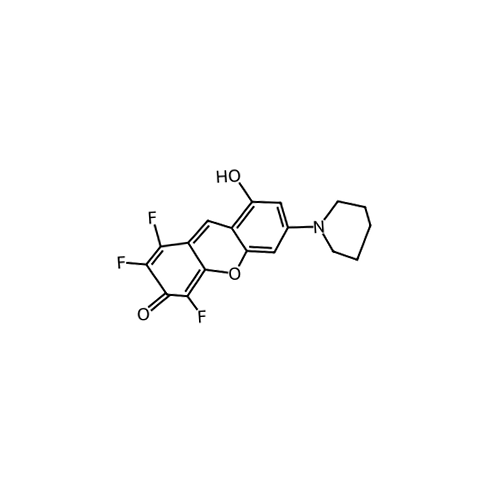 O=c1c(F)c2oc3cc(N4CCCCC4)cc(O)c3cc-2c(F)c1F